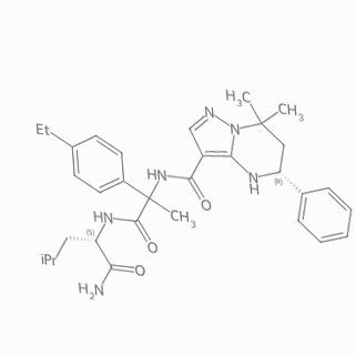 CCc1ccc(C(C)(NC(=O)c2cnn3c2N[C@@H](c2ccccc2)CC3(C)C)C(=O)N[C@@H](CC(C)C)C(N)=O)cc1